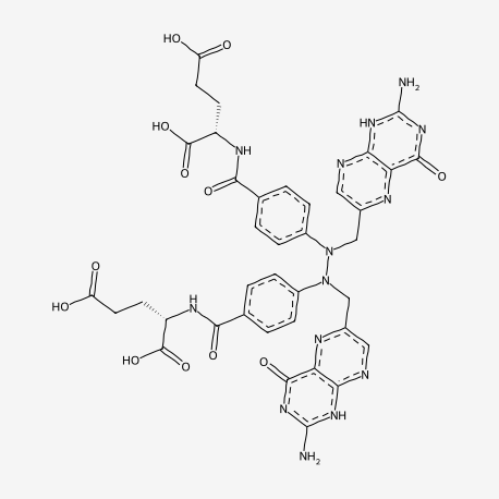 Nc1nc(=O)c2nc(CN(c3ccc(C(=O)N[C@@H](CCC(=O)O)C(=O)O)cc3)N(Cc3cnc4[nH]c(N)nc(=O)c4n3)c3ccc(C(=O)N[C@@H](CCC(=O)O)C(=O)O)cc3)cnc2[nH]1